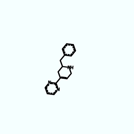 C1=C(c2ncccn2)CC(Cc2ccccc2)NC1